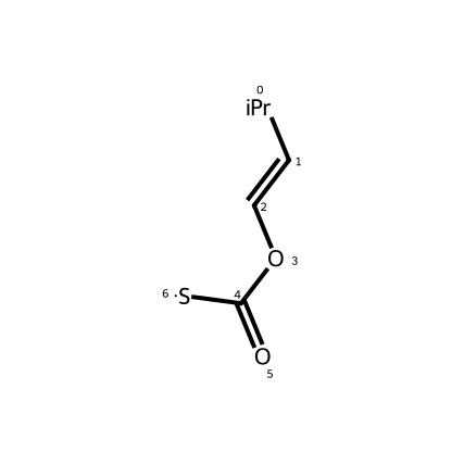 CC(C)C=COC(=O)[S]